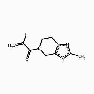 C=C(F)C(=O)N1CCn2nc(C)nc2C1